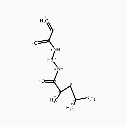 C=CC(=O)NBNC(=O)C(C)CC(C)C